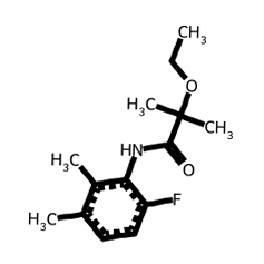 CCOC(C)(C)C(=O)Nc1c(F)ccc(C)c1C